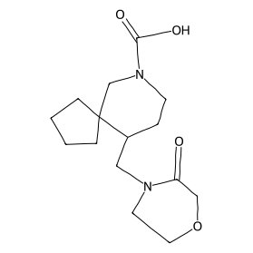 O=C(O)N1CCC(CN2CCOCC2=O)C2(CCCC2)C1